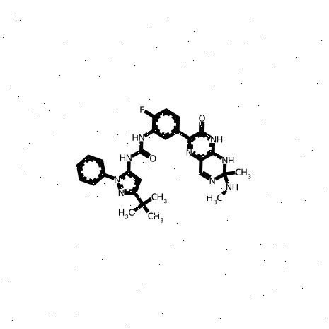 CNC1(C)N=Cc2nc(-c3ccc(F)c(NC(=O)Nc4cc(C(C)(C)C)nn4-c4ccccc4)c3)c(=O)[nH]c2N1